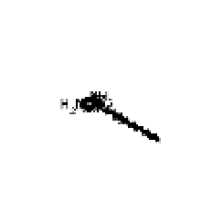 CCCCCCCCCCCCCCCCOC(=O)c1ccc(N)cc1N